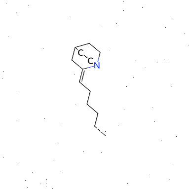 CCCCCC=C1CC2CCN1CC2